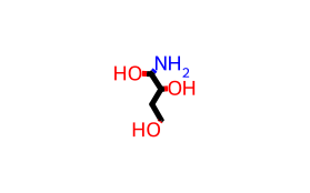 NC(O)C(O)CCO